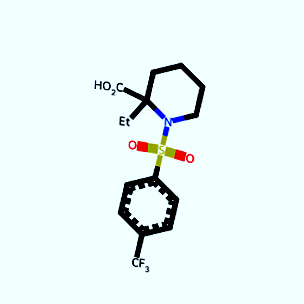 CCC1(C(=O)O)CCCCN1S(=O)(=O)c1ccc(C(F)(F)F)cc1